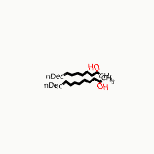 CCCCCCCCCCCCCCCCC(C)O.CCCCCCCCCCCCCCCCCC(C)O